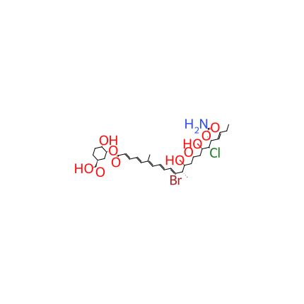 CC/C=C/[C@@H](OC(N)=O)[C@@H](Cl)[C@H](O)CC(=O)C[C@H](O)[C@H](C)/C(Br)=C/C=C/C=C(C)/C=C/C=C/C(=O)O[C@@H]1C[C@@H](C(=O)O)CC[C@@H]1O